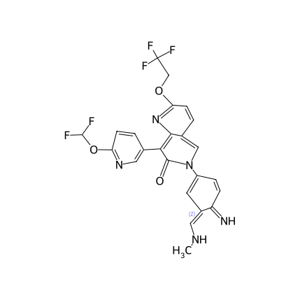 CN/C=C1/C=C(n2cc3ccc(OCC(F)(F)F)nc3c(-c3ccc(OC(F)F)nc3)c2=O)C=CC1=N